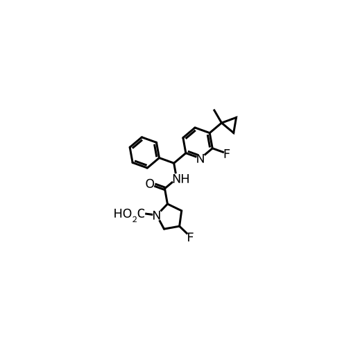 CC1(c2ccc(C(NC(=O)C3CC(F)CN3C(=O)O)c3ccccc3)nc2F)CC1